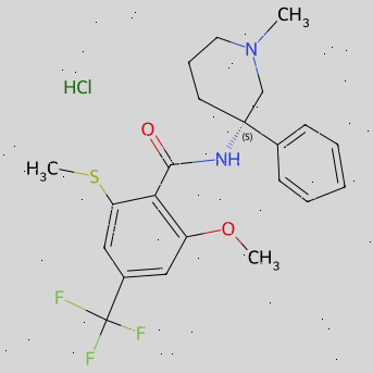 COc1cc(C(F)(F)F)cc(SC)c1C(=O)N[C@]1(c2ccccc2)CCCN(C)C1.Cl